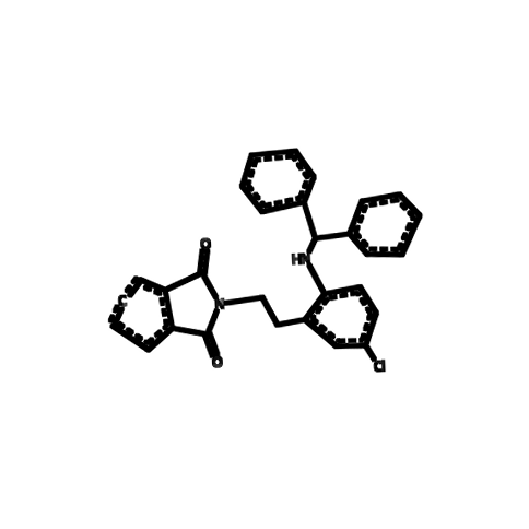 O=C1c2ccccc2C(=O)N1CCc1cc(Cl)ccc1NC(c1ccccc1)c1ccccc1